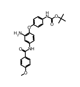 COc1ccc(C(=O)Nc2ccc(Oc3ccc(NC(=O)OC(C)(C)C)cc3)c(N)c2)cc1